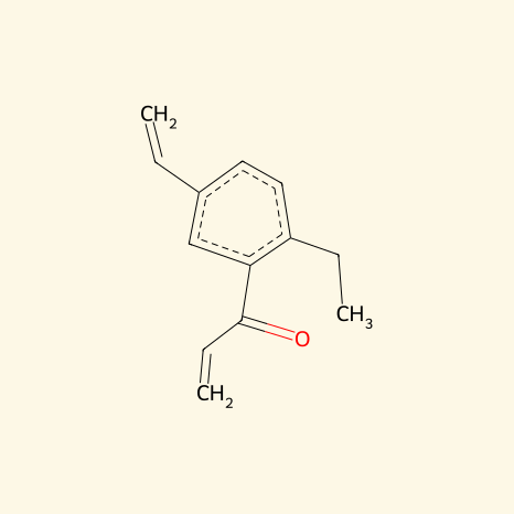 C=CC(=O)c1cc(C=C)ccc1CC